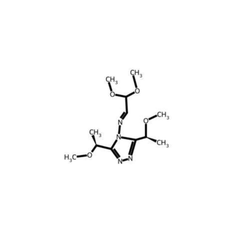 COC(C=Nn1c([C@H](C)OC)nnc1[C@H](C)OC)OC